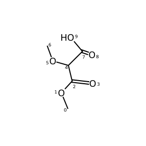 COC(=O)C(OC)C(=O)O